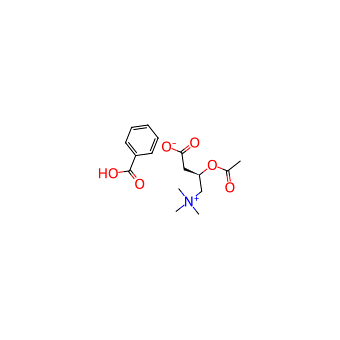 CC(=O)O[C@H](CC(=O)[O-])C[N+](C)(C)C.O=C(O)c1ccccc1